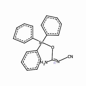 N#C/N=C(/N)[O][Sn]([c]1ccccc1)([c]1ccccc1)[c]1ccccc1